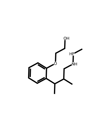 CPNCC(C)C(C)c1ccccc1OCCO